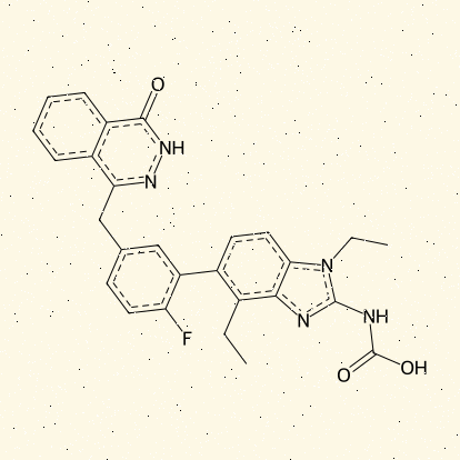 CCc1c(-c2cc(Cc3n[nH]c(=O)c4ccccc34)ccc2F)ccc2c1nc(NC(=O)O)n2CC